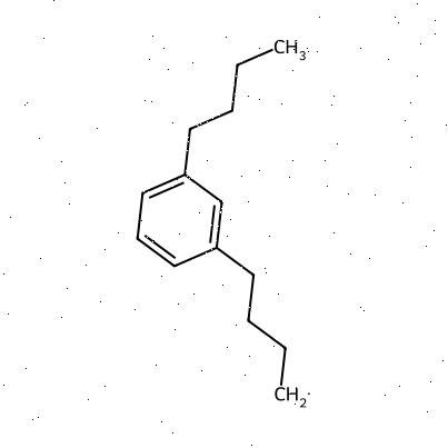 [CH2]CCCc1cccc(CCCC)c1